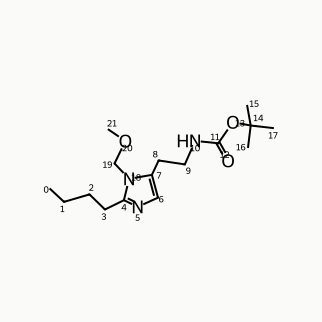 CCCCc1ncc(CCNC(=O)OC(C)(C)C)n1COC